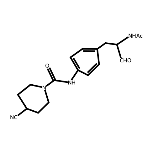 CC(=O)NC(C=O)Cc1ccc(NC(=O)N2CCC(C#N)CC2)cc1